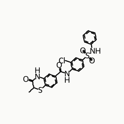 CC1Sc2ccc(C(=O)Nc3ccc(S(=O)(=O)Nc4ccccc4)cc3Cl)cc2NC1=O